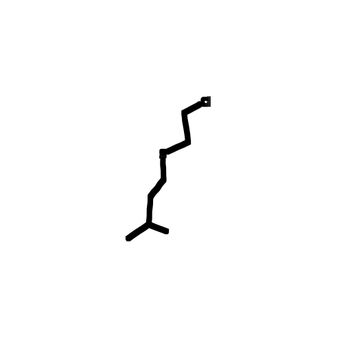 CC(C)CCSCCCl